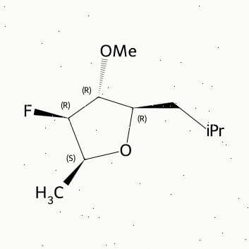 CO[C@H]1[C@H](F)[C@H](C)O[C@@H]1CC(C)C